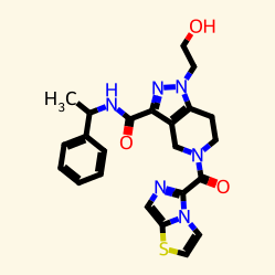 CC(NC(=O)c1nn(CCO)c2c1CN(C(=O)c1ncc3sccn13)CC2)c1ccccc1